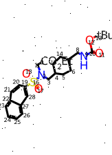 CCOC(=O)CN(CC1CCC(CNC(=O)OC(C)(C)C)CC1)S(=O)(=O)c1ccc2ccccc2c1